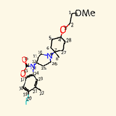 COCCOC1CCC(C)(N2CCC(n3c(=O)oc4cc(F)c(C)cc43)CC2)CC1